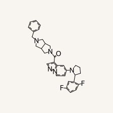 O=C(c1cnn2ccc(N3CCCC3c3cc(F)ccc3F)cc12)N1CC2CN(Cc3ccccc3)CC2C1